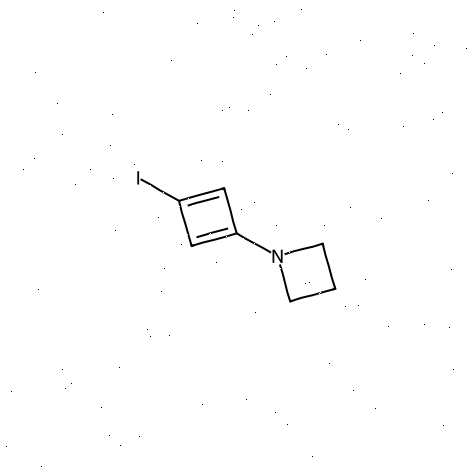 IC1=CC(N2CCC2)=C1